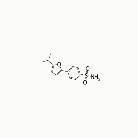 CC(C)c1ccc(-c2ccc(S(N)(=O)=O)cc2)o1